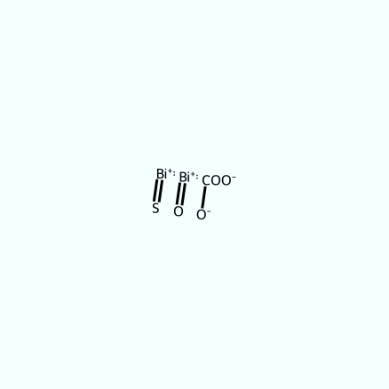 O=C([O-])[O-].[O]=[Bi+].[S]=[Bi+]